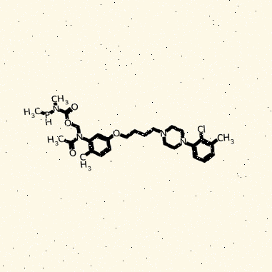 CPN(C)C(=O)OCN(C(C)=O)c1cc(OCCCCN2CCN(c3cccc(C)c3Cl)CC2)ccc1C